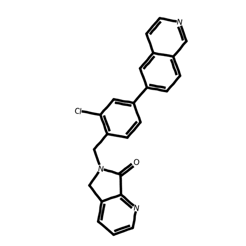 O=C1c2ncccc2CN1Cc1ccc(-c2ccc3cnccc3c2)cc1Cl